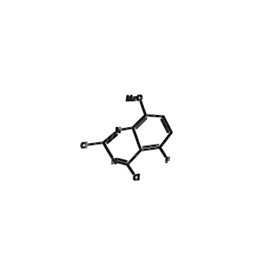 COc1ccc(F)c2c(Cl)nc(Cl)nc12